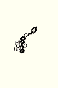 CN1CCN(CCCOc2ccc3[nH]c(C4C(=O)Nc5ccccc5C4=O)cc3c2)CC1